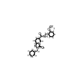 O=C(NCc1ccccc1OC(F)(F)F)c1ccc2nn(Cc3cccnc3)c(=O)n2c1